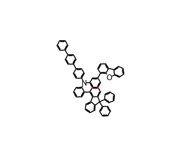 c1ccc(-c2ccc(-c3ccc(N(c4cccc(-c5cccc6c5oc5ccccc56)c4)c4ccccc4-c4cccc5c4-c4ccccc4C5(c4ccccc4)c4ccccc4)cc3)cc2)cc1